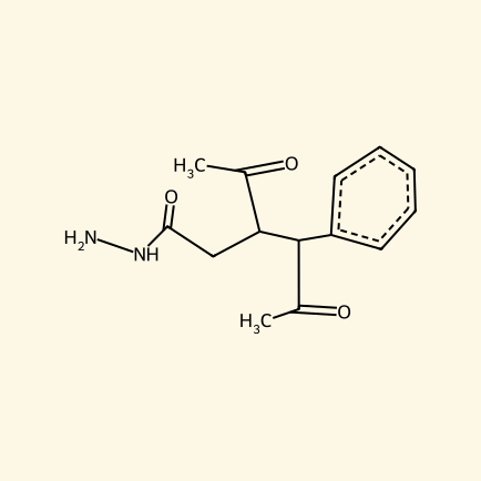 CC(=O)C(CC(=O)NN)C(C(C)=O)c1ccccc1